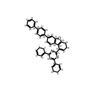 C1=CCCC(c2nc(C3=CCCC=C3)nc(C3=CCCc4oc5cc(-c6ccc(-c7ccccc7)cc6)ccc5c43)n2)=C1